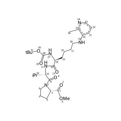 COC(=O)[C@@H]1CCCN1C(=O)[C@@H](NC(=O)[C@H](CCCCNc1cccnc1C)NC(=O)OC(C)(C)C)C(C)C